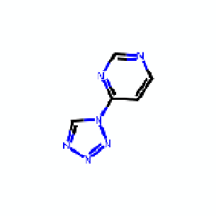 [c]1nnnn1-c1ccncn1